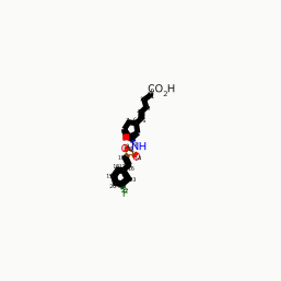 O=C(O)CCC/C=C/C1CC2CC(NS(=O)(=O)/C=C/c3cccc(F)c3)C1C2